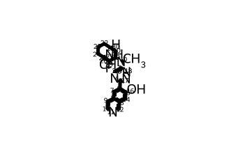 CN(c1cnc(-c2cc3ccncc3cc2O)nn1)[C@@H]1C[C@H]2CCC[C@](C)(N2)[C@H]1F